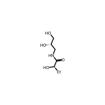 CC[C@@H](O)C(=O)NC[C@H](O)CO